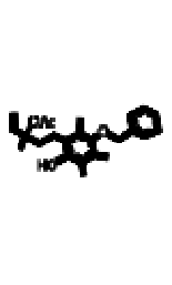 C=C[C@@](C)(CCc1c(C)c(OCc2ccccc2)c(C)c(C)c1O)OC(C)=O